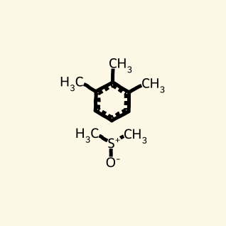 C[S+](C)[O-].Cc1cccc(C)c1C